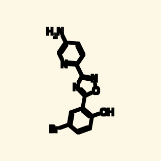 Nc1ccc(-c2noc(-c3cc(Br)ccc3O)n2)nc1